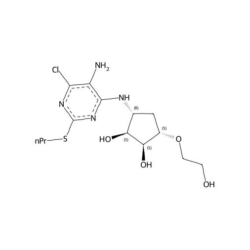 CCCSc1nc(Cl)c(N)c(N[C@@H]2C[C@H](OCCO)[C@@H](O)[C@H]2O)n1